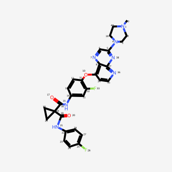 CN1CCN(c2cnc3c(Oc4ccc(NC(=O)C5(C(=O)Nc6ccc(F)cc6)CC5)cc4F)ccnc3n2)CC1